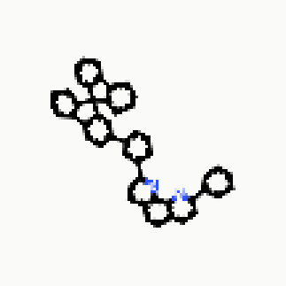 c1ccc(-c2ccc3ccc4ccc(-c5cccc(-c6ccc7c(c6)C6(c8ccccc8-c8ccccc86)c6ccccc6-7)c5)nc4c3n2)cc1